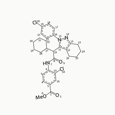 COC(=O)c1ccc(NC(=O)C(c2c3c(nn2-c2ccc(Cl)cc2)CCCC3)C2CCCCC2)c(Cl)c1